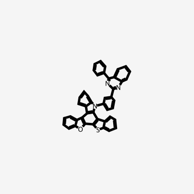 c1ccc(-c2nc(-c3cccc(-n4c5ccccc5c5c6c7ccccc7oc6c6sc7ccccc7c6c54)c3)nc3ccccc23)cc1